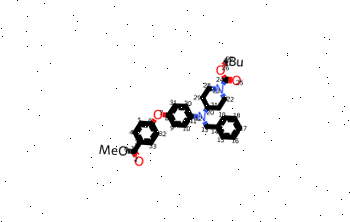 COC(=O)c1ccc(Oc2ccc(N(Cc3ccccc3)C3CCN(C(=O)OC(C)(C)C)CC3)cc2)cc1